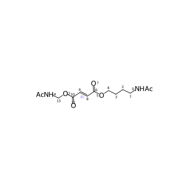 CC(=O)NCCCCOC(=O)/C=C/C(=O)OCNC(C)=O